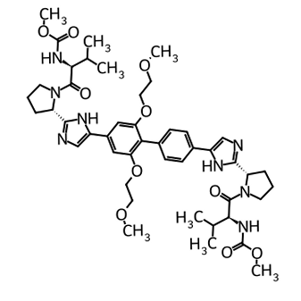 COCCOc1cc(-c2cnc([C@@H]3CCCN3C(=O)[C@@H](NC(=O)OC)C(C)C)[nH]2)cc(OCCOC)c1-c1ccc(-c2cnc([C@@H]3CCCN3C(=O)[C@@H](NC(=O)OC)C(C)C)[nH]2)cc1